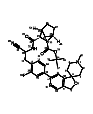 CN1CCC2(CC1)OCc1cnc(-c3ccc(C[C@@H](C#N)NC(=O)[C@@H]4[C@H]5CC[C@H](C5)N4C(=O)OC(C)(C)C)c(F)c3)cc12